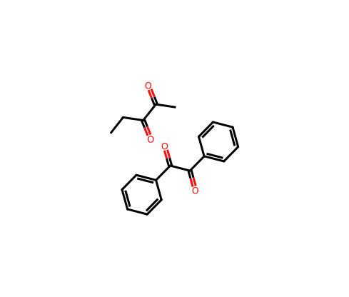 CCC(=O)C(C)=O.O=C(C(=O)c1ccccc1)c1ccccc1